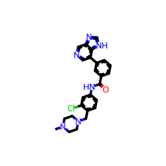 CN1CCN(Cc2ccc(NC(=O)c3cccc(-c4cncc5nc[nH]c45)c3)cc2Cl)CC1